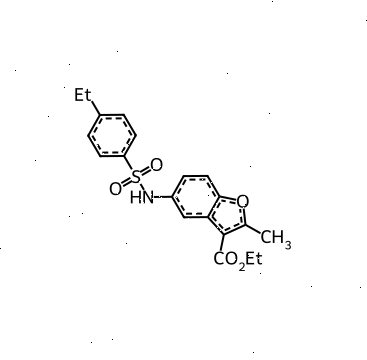 CCOC(=O)c1c(C)oc2ccc(NS(=O)(=O)c3ccc(CC)cc3)cc12